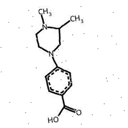 CC1CN(c2ccc(C(=O)O)cc2)CCN1C